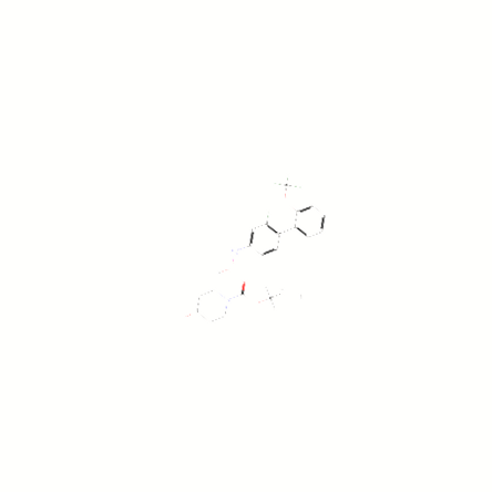 CC(C)(C)OC(=O)N1CC[C@@H](O)C[C@@H]1CONc1ccc(-c2ccccc2OC(F)(F)F)c(Cl)c1